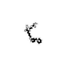 CCCC(=O)OCCSC(CC=CCOc1cc(CN2CCCCC2)ccn1)C(N)=O